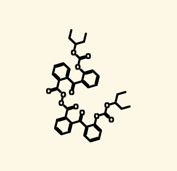 CCC(CC)OC(=O)Oc1ccccc1C(=O)c1ccccc1C(=O)OOC(=O)c1ccccc1C(=O)c1ccccc1OC(=O)OC(CC)CC